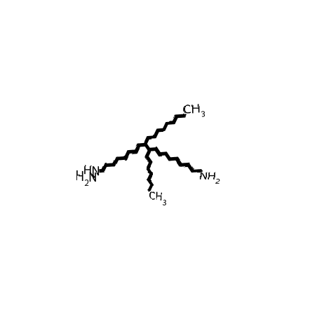 CCCCCCCCCC(CCCCCCCCNN)C(CCCCCCCC)CCCCCCCCCN